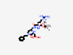 CC(C)(C)OC(=O)N[C@H](CCCNC(=N)N)C(=O)NC[C@@H]1CCN(CCc2ccccc2)C(=O)[C@H](CC(=O)O)N1